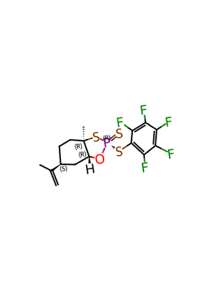 C=C(C)[C@H]1CC[C@@]2(C)S[P@@](=S)(Sc3c(F)c(F)c(F)c(F)c3F)O[C@@H]2C1